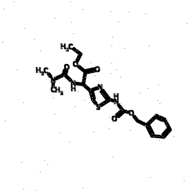 CCOC(=O)C(NC(=O)N(C)C)c1csc(NC(=O)OCc2ccccc2)n1